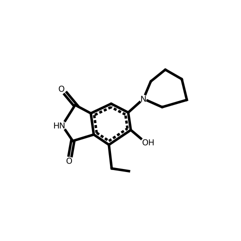 CCc1c(O)c(N2CCCCC2)cc2c1C(=O)NC2=O